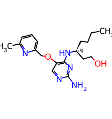 CCCC[C@@H](CCO)Nc1nc(N)ncc1OCc1cccc(C)n1